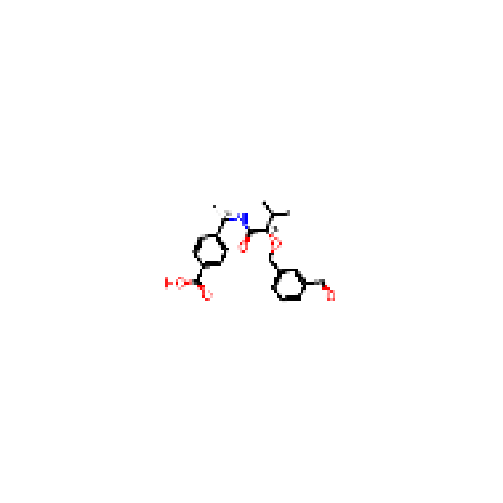 CC(C)[C@@H](OCc1cccc(C=O)c1)C(=O)N[C@@H](C)c1ccc(C(=O)O)cc1